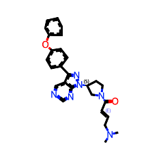 CN(C)C/C=C/C(=O)N1CC[C@H](n2nc(-c3ccc(Oc4ccccc4)cc3)c3cncnc32)C1